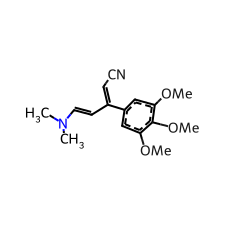 COc1cc(C(=C\C#N)/C=C/N(C)C)cc(OC)c1OC